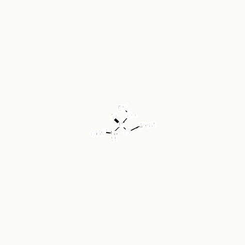 CCCC(C)SP(=S)(NC=O)OCC